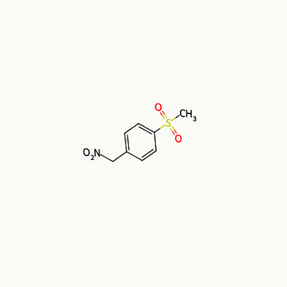 CS(=O)(=O)c1ccc(C[N+](=O)[O-])cc1